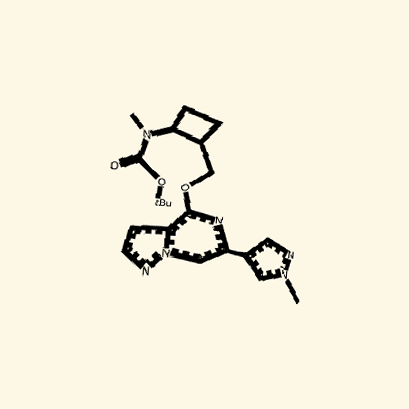 CN(C(=O)OC(C)(C)C)C1CCC1COc1nc(-c2cnn(C)c2)cn2nccc12